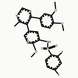 COc1ccc(-c2ncnc(C)c2-c2cnc(OC)c(NS(=O)(=O)c3ccc(F)cc3F)c2)cc1OC